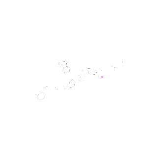 CC1(C)CCC(CN2CCN(c3ccc(C(=O)NS(=O)(=O)c4cc5c(c([N+](=O)[O-])c4)N[C@H](CCN4CCS(=O)(=O)CC4)CO5)c(Oc4cnc5[nH]ccc5c4)c3)CC2)=C(c2ccc(Cl)cc2)C1